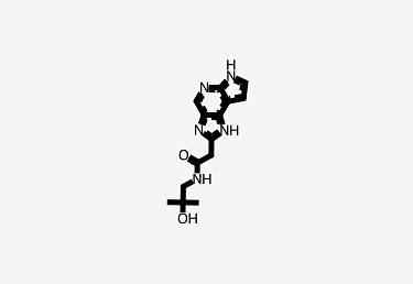 CC(C)(O)CNC(=O)Cc1nc2cnc3[nH]ccc3c2[nH]1